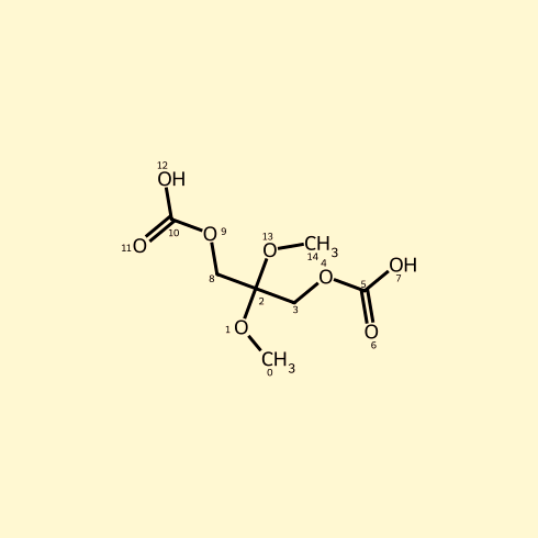 COC(COC(=O)O)(COC(=O)O)OC